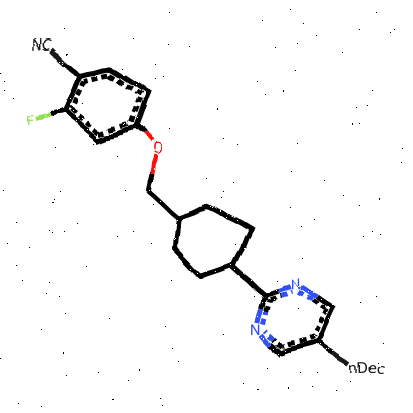 CCCCCCCCCCc1cnc(C2CCC(COc3ccc(C#N)c(F)c3)CC2)nc1